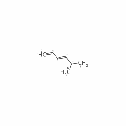 [CH]=CC=CC(C)C